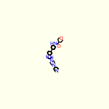 O=C(Nc1ccc(-c2ccc3ncc(N4CCN(c5ccncc5)CC4)nc3c2)cc1)C1CCOCC1